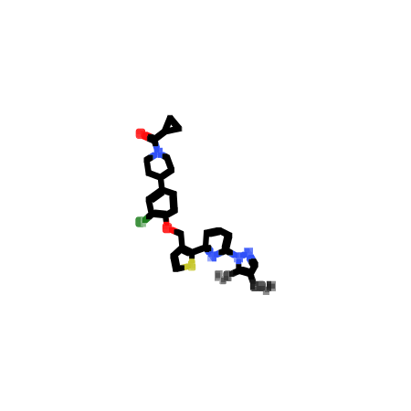 O=C(O)c1cnn(-c2cccc(-c3sccc3COc3ccc(C4CCN(C(=O)C5CC5)CC4)cc3Cl)n2)c1C(F)(F)F